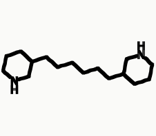 C(CCCC1CCCNC1)CCC1CCCNC1